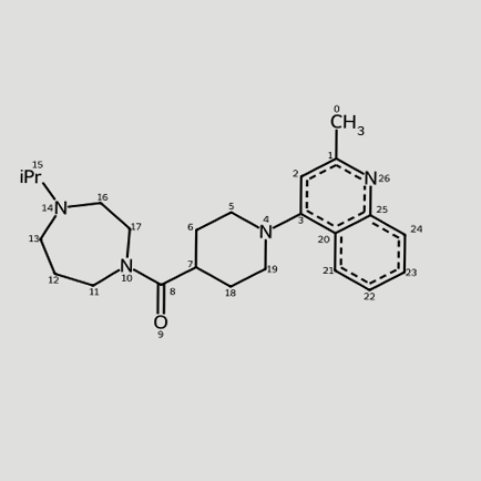 Cc1cc(N2CCC(C(=O)N3CCCN(C(C)C)CC3)CC2)c2ccccc2n1